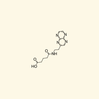 O=C(O)CCCC(=O)NCCc1cnc2nccnc2n1